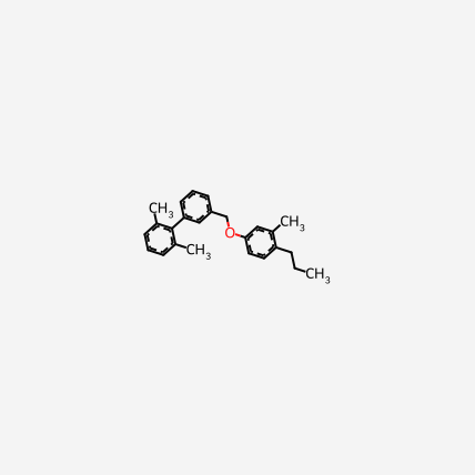 CCCc1ccc(OCc2cccc(-c3c(C)cccc3C)c2)cc1C